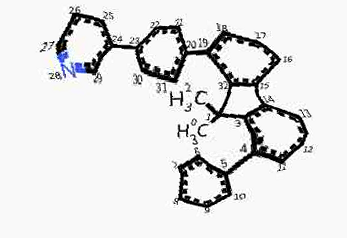 CC1(C)c2c(-c3ccccc3)cccc2-c2cccc(-c3ccc(-c4cccnc4)cc3)c21